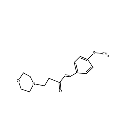 CSc1ccc(C=CC(=O)CCN2CCOCC2)cc1